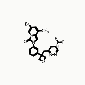 O=c1n(-c2cccc(C3(CC4=NN=C[C@@H](C(F)F)C4)COC3)c2)cc2c(C(F)(F)F)cc(Br)cn12